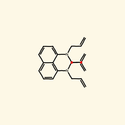 C=CCN(CC=C)c1cccc2cccc(N(CC=C)CC=C)c12